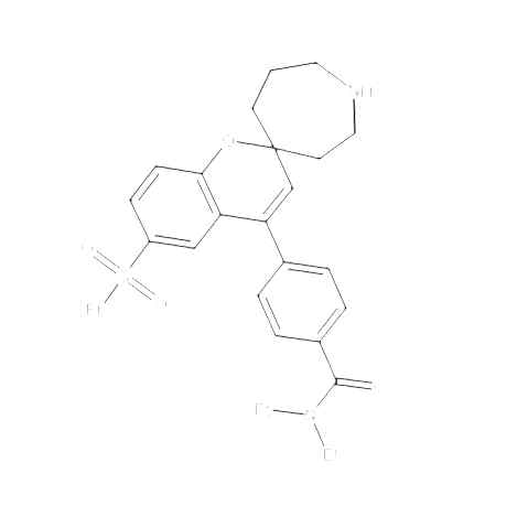 CCN(CC)C(=O)c1ccc(C2=CC3(CCCNCC3)Oc3ccc(S(=O)(=O)CC)cc32)cc1